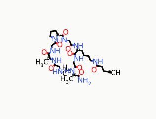 C#CCCC(=O)NCCCC[C@H](NC(=O)CNC(=O)[C@@H]1CCCN1C(=O)CNC(=O)[C@H](C)NC(=O)CNC)C(=O)NCC(=O)N[C@@H](C)C(N)=O